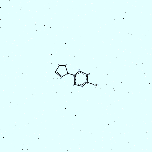 Oc1ccc(C2C=CCC2)cc1